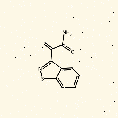 C=C(C(N)=O)c1nsc2ccccc12